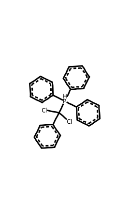 ClC(Cl)(c1ccccc1)[PH](c1ccccc1)(c1ccccc1)c1ccccc1